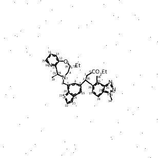 CCOC(=O)C[C@H](c1cc(CN2C[C@@H](CC)Oc3cccnc3[C@@H]2C)c2sccc2c1)c1ccc2c(nnn2C)c1C